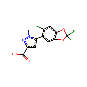 Cn1nc(C(=O)O)cc1-c1cc2c(cc1Cl)OC(F)(F)O2